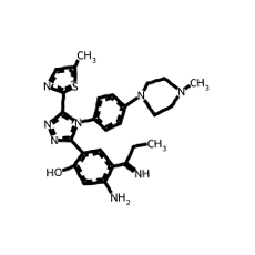 CCC(=N)c1cc(-c2nnc(-c3ncc(C)s3)n2-c2ccc(N3CCN(C)CC3)cc2)c(O)cc1N